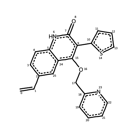 C=Cc1ccc2[nH]c(=O)c(-c3cccs3)c(OCc3ccccn3)c2c1